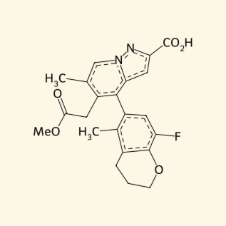 COC(=O)Cc1c(C)cn2nc(C(=O)O)cc2c1-c1cc(F)c2c(c1C)CCCO2